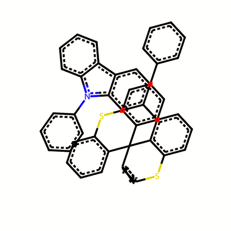 c1ccc(-c2ccc3c(c2)Sc2ccccc2C32c3ccccc3Sc3cccc(-c4ccc5c6ccccc6n(-c6ccccc6)c5c4)c32)cc1